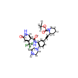 C[C@H]1CN(c2ccc(C#CC3CCCCN3C(=O)OC(C)(C)C)cc2NC(=O)c2c[nH]c(=O)cc2C(F)(F)F)CCN1C